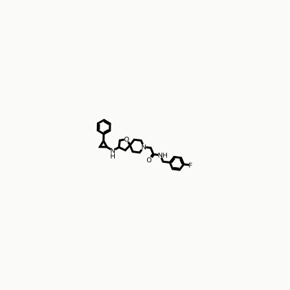 O=C(CN1CCC2(CC1)CC(NC1CC1c1ccccc1)CO2)NCc1ccc(F)cc1